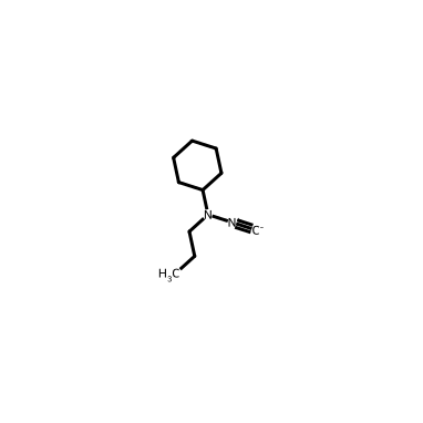 [C-]#[N+]N(CCC)C1CCCCC1